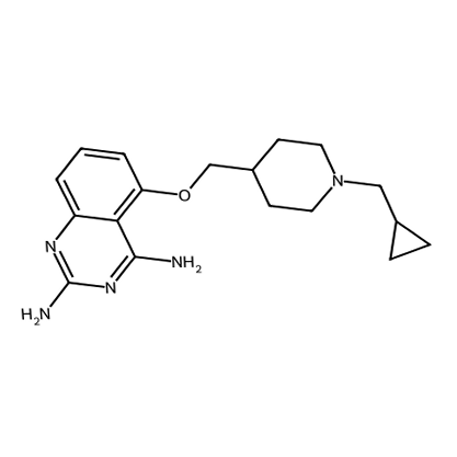 Nc1nc(N)c2c(OCC3CCN(CC4CC4)CC3)cccc2n1